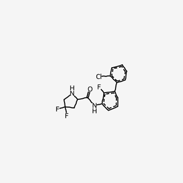 O=C(Nc1cccc(-c2ccccc2Cl)c1F)C1CC(F)(F)CN1